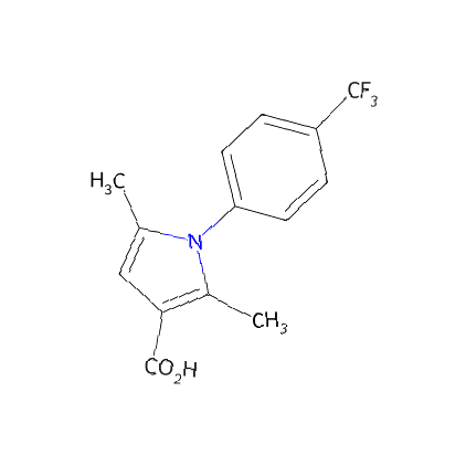 Cc1cc(C(=O)O)c(C)n1-c1ccc(C(F)(F)F)cc1